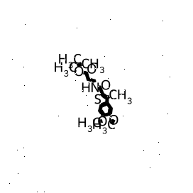 COc1cc2sc(C(=O)NCCC(=O)OC(C)(C)C)c(C)c2cc1OC